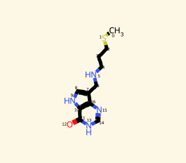 CSCCCNCc1c[nH]c2c(=O)[nH]cnc12